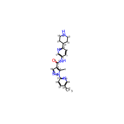 Cc1c(C(=O)Nc2ccc(C3CCNCC3)nc2)cnn1-c1ccc(C(F)(F)F)cn1